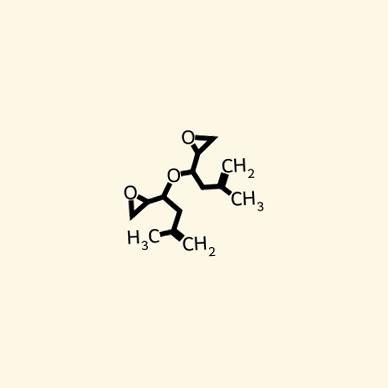 C=C(C)CC(OC(CC(=C)C)C1CO1)C1CO1